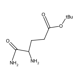 CC(C)(C)OC(=O)CCC(N)C(N)=O